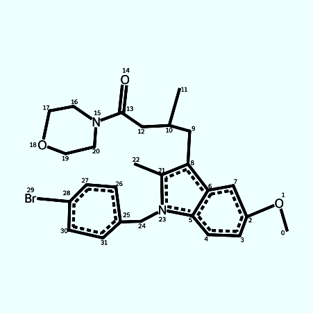 COc1ccc2c(c1)c(CC(C)CC(=O)N1CCOCC1)c(C)n2Cc1ccc(Br)cc1